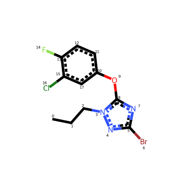 CCCn1nc(Br)nc1Oc1ccc(F)c(Cl)c1